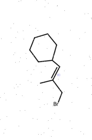 C/C(=C\C1CCCCC1)CBr